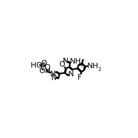 Cc1cc(-c2ncc(-c3cnn(COP(=O)(O)O)c3)c3onc(N)c23)c(F)cc1N